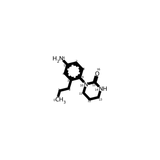 CCCc1cc(N)ccc1N1CCCNC1=O